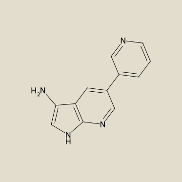 Nc1c[nH]c2ncc(-c3cccnc3)cc12